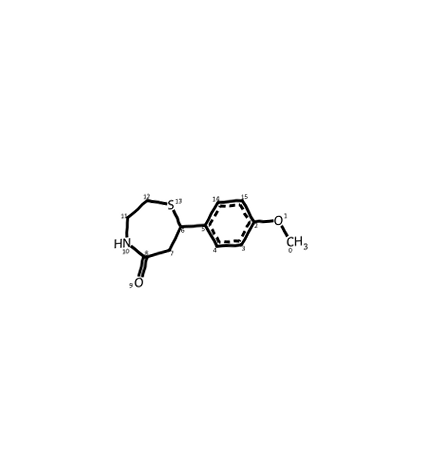 COc1ccc(C2CC(=O)NCCS2)cc1